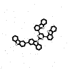 c1ccc2c(c1)oc1ccc(-c3ccc4c(c3)c3ccccc3n4-c3nc(-c4cccc5c4oc4ccccc45)cc(-c4cccc5c4oc4ccccc45)n3)cc12